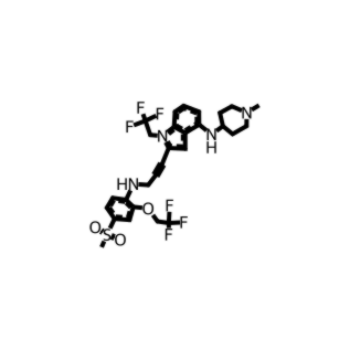 CN1CCC(Nc2cccc3c2cc(C#CCNc2ccc(S(C)(=O)=O)cc2OCC(F)(F)F)n3CC(F)(F)F)CC1